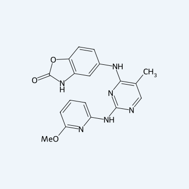 COc1cccc(Nc2ncc(C)c(Nc3ccc4oc(=O)[nH]c4c3)n2)n1